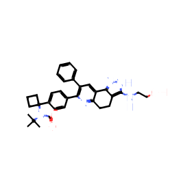 CC(C)(C)N(C(=O)O)C1(c2ccc(-c3nc4c(cc3-c3ccccc3)-c3n[nH]c(NCCO)c3CC4)cc2)CCC1